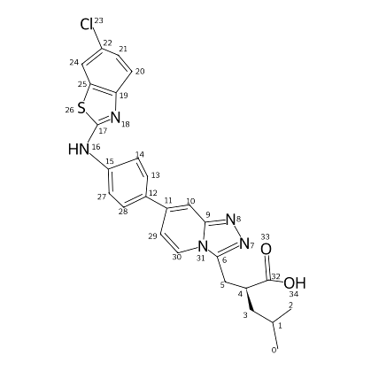 CC(C)C[C@@H](Cc1nnc2cc(-c3ccc(Nc4nc5ccc(Cl)cc5s4)cc3)ccn12)C(=O)O